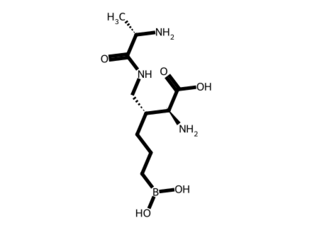 C[C@H](N)C(=O)NC[C@@H](CCCB(O)O)[C@H](N)C(=O)O